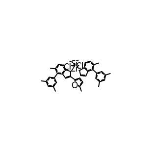 Cc1cc(C)cc(-c2c(C)ccc3c2C=C[CH]3[Zr]([Cl])([Cl])([CH]2C(c3ccc(C)o3)=Cc3c2ccc(C)c3-c2cc(C)cc(C)c2)=[Si](C)C)c1